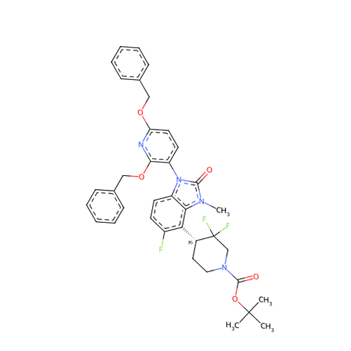 Cn1c(=O)n(-c2ccc(OCc3ccccc3)nc2OCc2ccccc2)c2ccc(F)c([C@H]3CCN(C(=O)OC(C)(C)C)CC3(F)F)c21